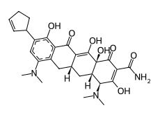 CN(C)c1cc(C2C=CCC2)c(O)c2c1C[C@H]1C[C@H]3[C@H](N(C)C)C(O)=C(C(N)=O)C(=O)[C@@]3(O)C(O)=C1C2=O